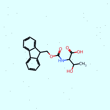 CC(O)C(NC(=O)OCC1c2ccccc2-c2ccccc21)C(=O)O